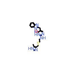 Cc1[nH]cnc1CSCCNc1ncc(Cc2nc3ccccc3[nH]2)c(=O)[nH]1